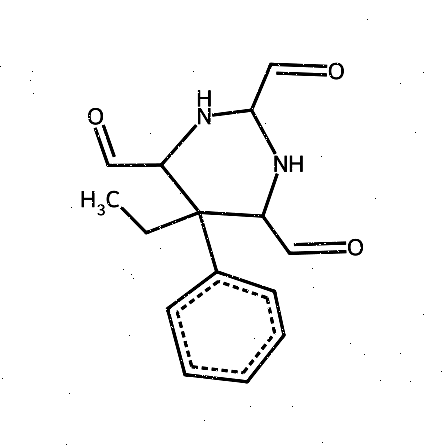 CCC1(c2ccccc2)C(C=O)NC(C=O)NC1C=O